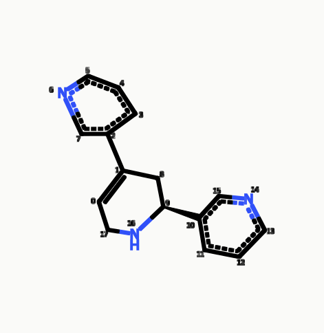 C1=C(c2cccnc2)C[C@@H](c2cccnc2)NC1